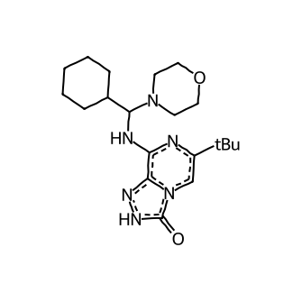 CC(C)(C)c1cn2c(=O)[nH]nc2c(NC(C2CCCCC2)N2CCOCC2)n1